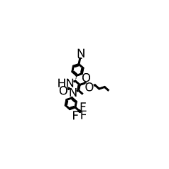 CCCCOC(=O)C1=C(C)N(c2cccc(C(F)(F)F)c2)C(=O)N[C@@H]1c1ccc(C#N)cc1